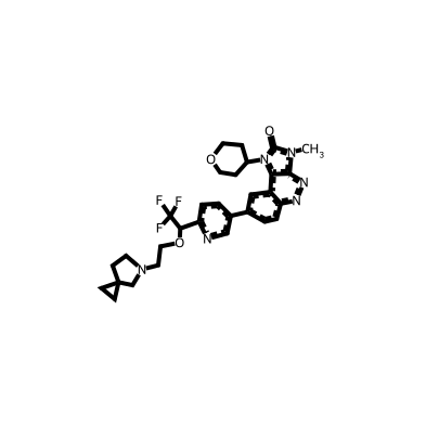 Cn1c(=O)n(C2CCOCC2)c2c3cc(-c4ccc(C(OCCN5CCC6(CC6)C5)C(F)(F)F)nc4)ccc3nnc21